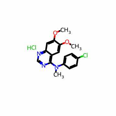 COc1cc2ncnc(N(C)c3ccc(Cl)cc3)c2cc1OC.Cl